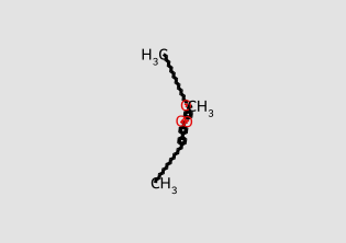 CCCCCCCCCCCCCCCCCCOC(C)c1ccc(OC(=O)c2ccc(-c3ccc(CCCCCCCCCCCCCCC)cc3)cc2)cc1